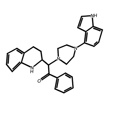 O=C(c1ccccc1)C(C1CCc2ccccc2N1)N1CCN(c2cccc3[nH]ccc23)CC1